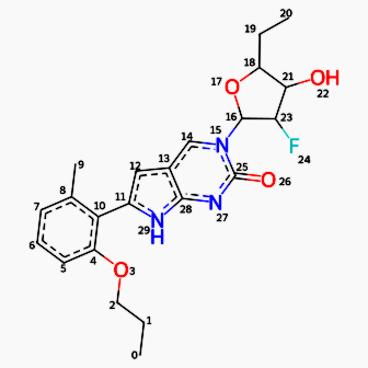 CCCOc1cccc(C)c1-c1cc2cn(C3OC(CC)C(O)C3F)c(=O)nc2[nH]1